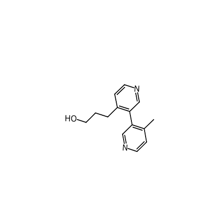 Cc1ccncc1-c1cnccc1CCCO